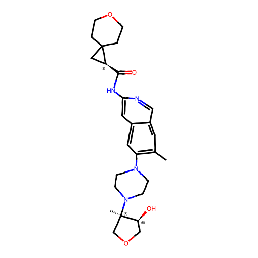 Cc1cc2cnc(NC(=O)[C@H]3CC34CCOCC4)cc2cc1N1CCN([C@]2(C)COC[C@@H]2O)CC1